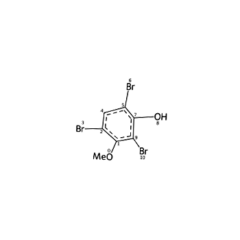 COc1c(Br)cc(Br)c(O)c1Br